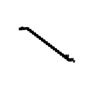 CCCCCCCCCCCCCCCCCCCCCCCCCCCCCCCCCCCCCCCCCCNCCCN